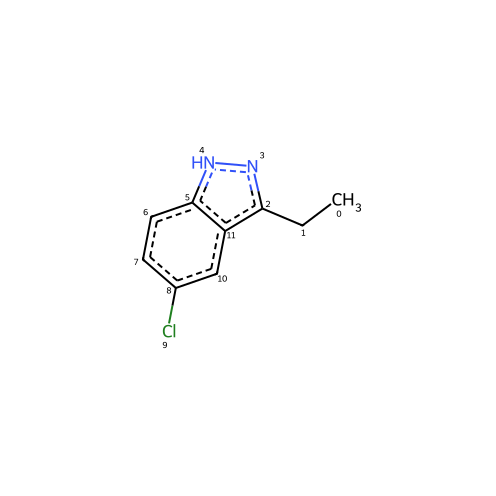 CCc1n[nH]c2ccc(Cl)cc12